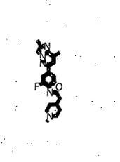 Cc1cn2nc(-c3cc(F)c4nc(CC5CCN(C)CC5)oc4c3)cc(C)c2n1